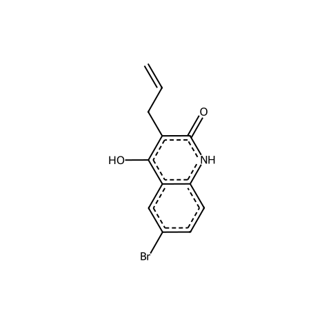 C=CCc1c(O)c2cc(Br)ccc2[nH]c1=O